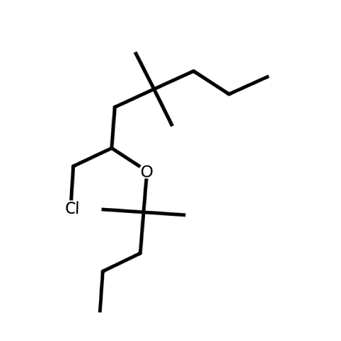 CCCC(C)(C)CC(CCl)OC(C)(C)CCC